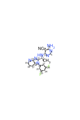 CC(Nc1ncnc(N)c1C#N)c1nc2ncccc2n1-c1cc(F)cc(F)c1